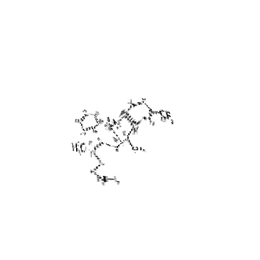 C[C@@H](CCN)CC[C@@H]1[C@H](C)c2cc(C(F)(F)F)ccc2N[C@H]1c1ccccc1